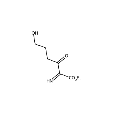 CCOC(=O)C(=N)C(=O)CCCO